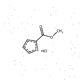 COC(=O)c1cccs1.Cl